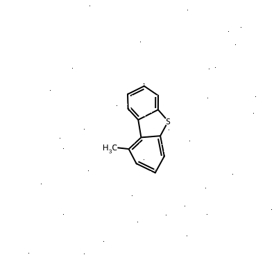 Cc1cccc2sc3c[c]ccc3c12